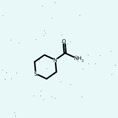 NC(=O)N1CCSCC1